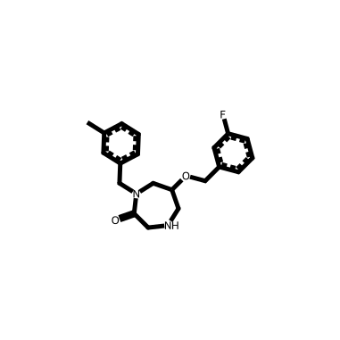 Cc1cccc(CN2CC(OCc3cccc(F)c3)CNCC2=O)c1